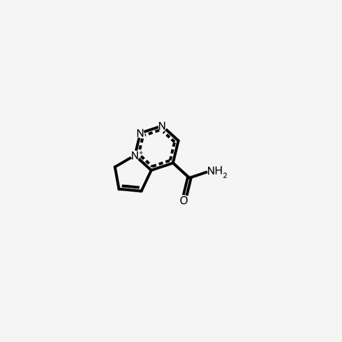 NC(=O)c1cnn[n+]2c1C=CC2